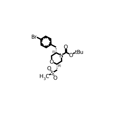 CC(C)(C)OC(=O)N1C[C@H](CS(C)(=O)=O)OC[C@@H]1Cc1ccc(Br)cc1